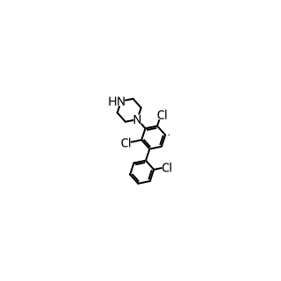 Clc1[c]cc(-c2ccccc2Cl)c(Cl)c1N1CCNCC1